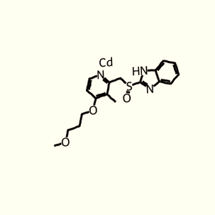 COCCCOc1ccnc(CS(=O)c2nc3ccccc3[nH]2)c1C.[Cd]